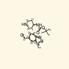 CC(C)(C)OC(=O)NC1CCNCC1.Cn1nnc2ccc(C=O)cc21